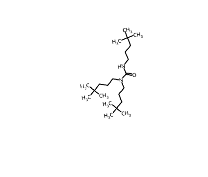 CC(C)(C)CCCNC(=O)N(CCCC(C)(C)C)CCCC(C)(C)C